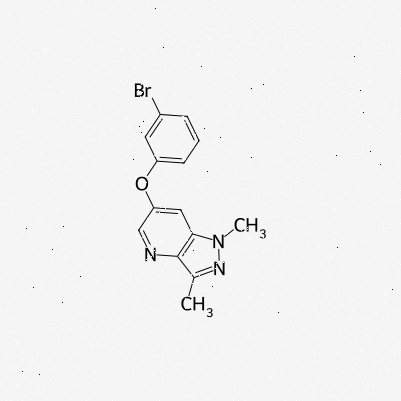 Cc1nn(C)c2cc(Oc3cccc(Br)c3)cnc12